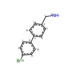 [NH]Cc1ccc(-c2ccc(Br)cc2)cc1